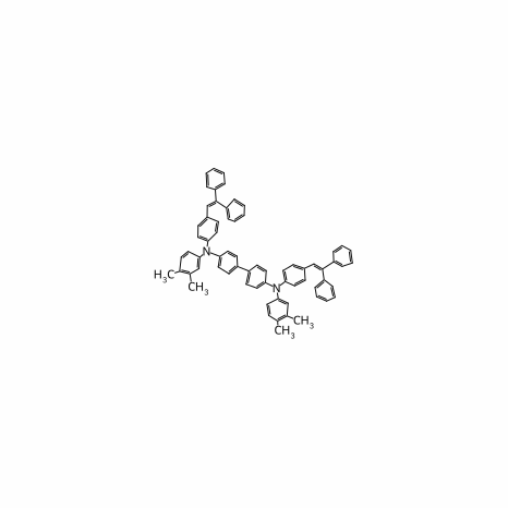 Cc1ccc(N(c2ccc(C=C(c3ccccc3)c3ccccc3)cc2)c2ccc(-c3ccc(N(c4ccc(C=C(c5ccccc5)c5ccccc5)cc4)c4ccc(C)c(C)c4)cc3)cc2)cc1C